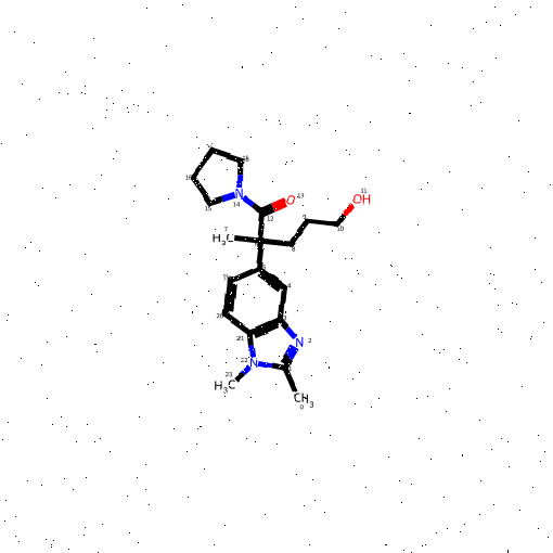 Cc1nc2cc(C(C)(CCCO)C(=O)N3CCCC3)ccc2n1C